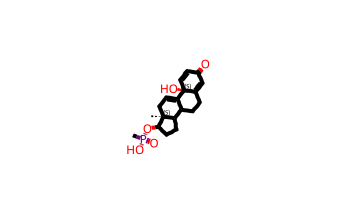 C[C@]12CC=C3C(CCC4=CC(=O)C=C[C@]43O)C1CCC2OP(C)(=O)O